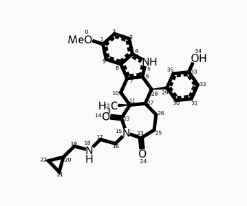 COc1ccc2[nH]c3c(c2c1)C[C@@]1(C)C(=O)N(CCNCC2CC2)C(=O)CCC1[C@@H]3c1cccc(O)c1